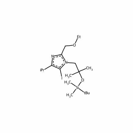 CCOCc1nc(C(C)C)c(I)n1CC(C)(C)O[Si](C)(C)C(C)(C)C